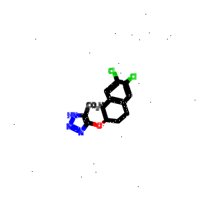 O=C(O)c1[nH]nnc1O[C@H]1CCc2cc(Cl)c(Cl)cc2C1